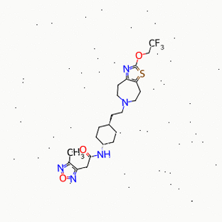 Cc1nonc1CC(=O)N[C@H]1CC[C@H](CCN2CCc3nc(OCC(F)(F)F)sc3CC2)CC1